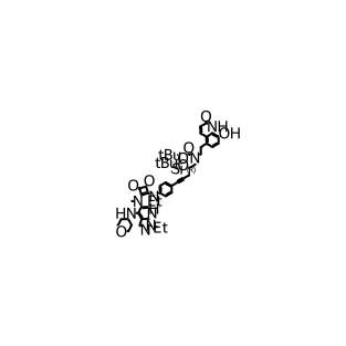 CCc1nc2c(cnn2CC)c(NC2CCOCC2)c1N(C)c1c(Nc2ccc(C#CC[C@H](CN(CCc3ccc(O)c4[nH]c(=O)ccc34)C(=O)OC(C)(C)C)O[Si](C)(C)C(C)(C)C)cc2)c(=O)c1=O